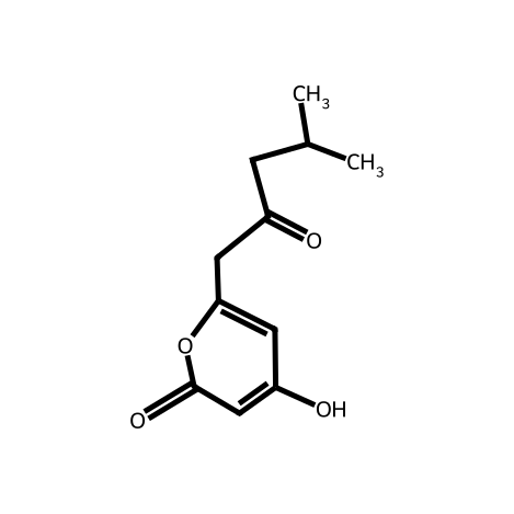 CC(C)CC(=O)Cc1cc(O)cc(=O)o1